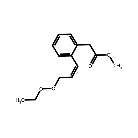 CCOOC/C=C\c1ccccc1CC(=O)OC